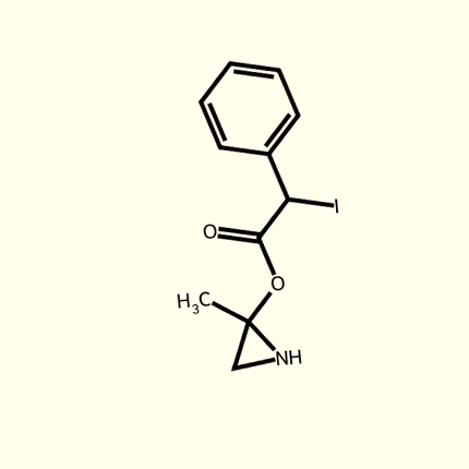 CC1(OC(=O)C(I)c2ccccc2)CN1